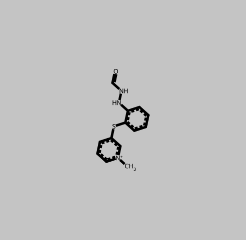 C[n+]1cccc(Sc2ccccc2NNC=O)c1